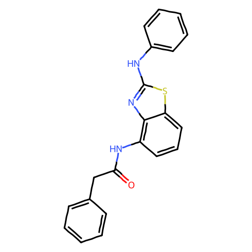 O=C(Cc1ccccc1)Nc1cccc2sc(Nc3ccccc3)nc12